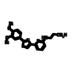 CCOc1ccc(-c2nc(-c3cccc(NCCC(=O)O)n3)cs2)cc1OCC